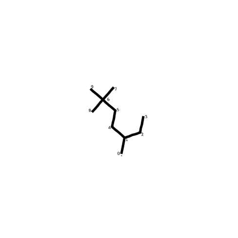 [CH2]C(CC)CCC(C)(C)C